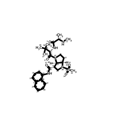 CN[C@@H](C)C(=O)N[C@H](C(=O)N1CC[C@@H]2[C@H]1[C@@H](C(=O)Nc1cccc3ccccc13)CN2S(C)(=O)=O)C(C)(C)C